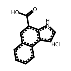 Cl.O=C(O)c1cc2ccccc2c2cc[nH]c12